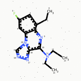 CCc1cc(F)cc2c1nc(N(CC)CC)c1nncn12